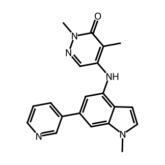 Cc1c(Nc2cc(-c3cccnc3)cc3c2ccn3C)cnn(C)c1=O